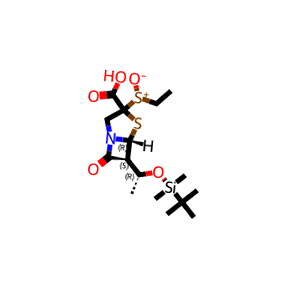 CC[S+]([O-])C1(C(=O)O)CN2C(=O)[C@H]([C@@H](C)O[Si](C)(C)C(C)(C)C)[C@H]2S1